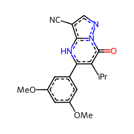 COc1cc(OC)cc(-c2[nH]c3c(C#N)cnn3c(=O)c2C(C)C)c1